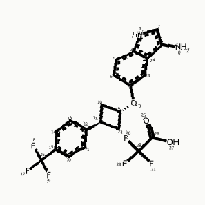 Nc1c[nH]c2ccc(O[C@H]3C[C@H](c4ccc(C(F)(F)F)cc4)C3)cc12.O=C(O)C(F)(F)F